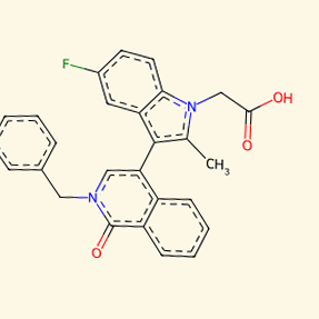 Cc1c(-c2cn(Cc3ccccc3)c(=O)c3ccccc23)c2cc(F)ccc2n1CC(=O)O